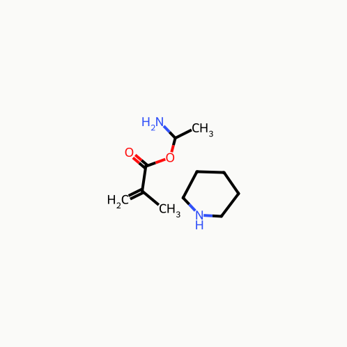 C1CCNCC1.C=C(C)C(=O)OC(C)N